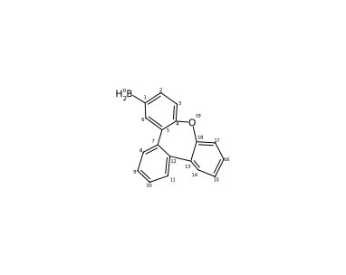 Bc1ccc2c(c1)-c1ccccc1-c1ccccc1O2